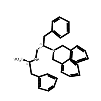 O=C(O)[C@H](Cc1ccccc1)NC[C@H](Cc1ccccc1)N(Cc1ccccc1)Cc1ccccc1